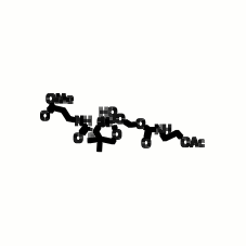 COC(=O)CCNC(=O)[C@@H]1O[PH](O)(OCOC(=O)NCCOC(C)=O)OCC1(C)C